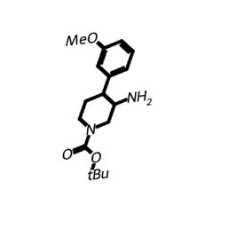 COc1cccc(C2CCN(C(=O)OC(C)(C)C)CC2N)c1